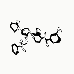 O=C(NC1CCN([C@H]2CC[C@@H](N3CCCC3=O)C[C@H]2CS(=O)(=O)c2ccccc2)C1=O)c1cccc(C(F)(F)F)c1